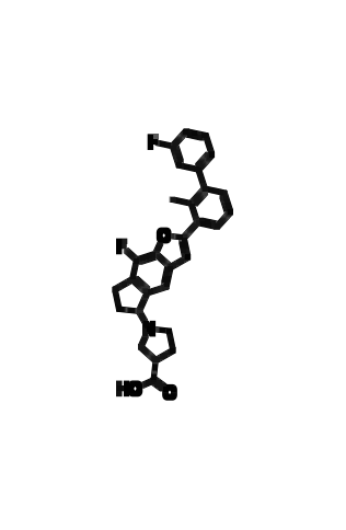 Cc1c(-c2cccc(F)c2)cccc1-c1cc2cc3c(c(F)c2o1)CCC3N1CCC(C(=O)O)C1